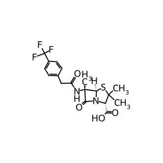 CC1(C)S[C@H]2N(C(=O)[C@]2(C)NC(=O)Cc2ccc(C(F)(F)F)cc2)[C@H]1C(=O)O